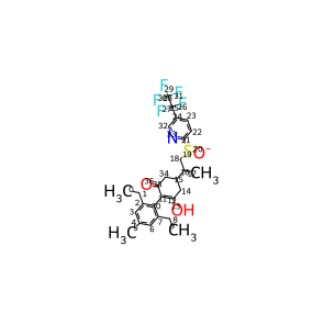 CCc1cc(C)cc(CC)c1C1=C(O)CC(C(C)C[S+]([O-])c2ccc(C(F)(F)C(F)(F)F)cn2)CC1=O